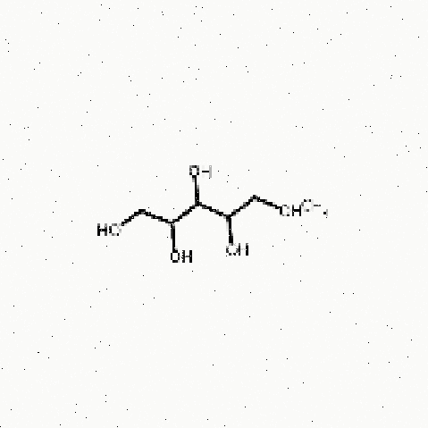 C.OCC(O)C(O)C(O)CO